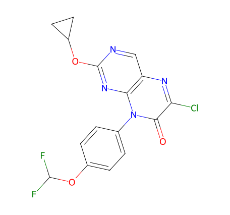 O=c1c(Cl)nc2cnc(OC3CC3)nc2n1-c1ccc(OC(F)F)cc1